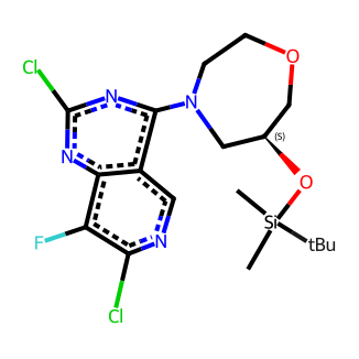 CC(C)(C)[Si](C)(C)O[C@@H]1COCCN(c2nc(Cl)nc3c(F)c(Cl)ncc23)C1